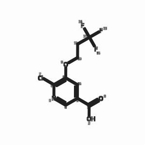 O=C(O)c1cnc(Cl)c(OCCC(F)(F)F)c1